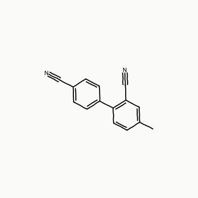 Cc1ccc(-c2ccc(C#N)cc2)c(C#N)c1